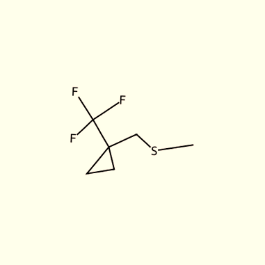 CSCC1(C(F)(F)F)CC1